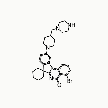 O=c1nc2n(c3cccc(Br)c13)-c1cc(N3CCC(CN4CCNCC4)CC3)ccc1C21CCCCC1